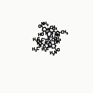 CCO[C@H](Cn1/c(=N/C(=O)c2cc(C)nn2CC)n(C)c2cc(C(N)=O)cc(O)c21)[C@@H](Cn1/c(=N/C(=O)c2cc(C)nn2CC)n(C)c2cc(C(N)=O)cc(O)c21)OCC